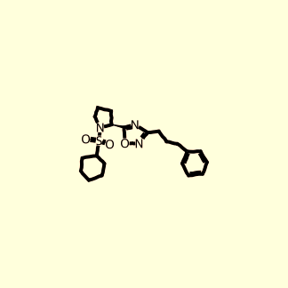 O=S(=O)(C1CCCCC1)N1CCC[C@H]1c1nc(CCCc2ccccc2)no1